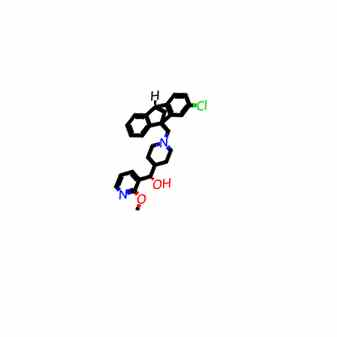 COc1ncccc1[C@H](O)C1CCN(CC23C[C@H](c4ccccc42)c2ccc(Cl)cc23)CC1